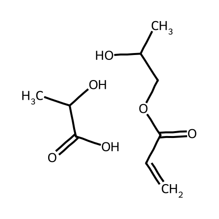 C=CC(=O)OCC(C)O.CC(O)C(=O)O